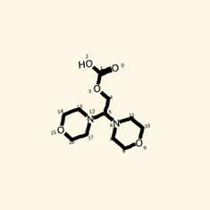 O=C(O)OCC(N1CCOCC1)N1CCOCC1